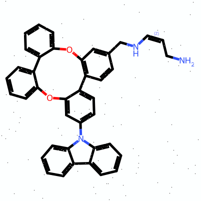 NC/C=C\NCc1ccc2c(c1)Oc1ccccc1-c1ccccc1Oc1cc(-n3c4ccccc4c4ccccc43)ccc1-2